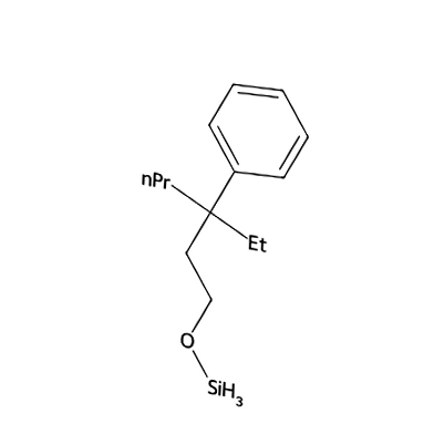 CCCC(CC)(CCO[SiH3])c1ccccc1